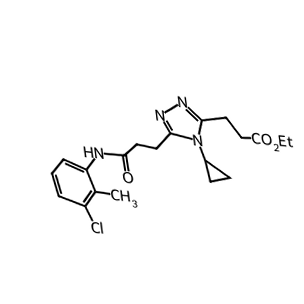 CCOC(=O)CCc1nnc(CCC(=O)Nc2cccc(Cl)c2C)n1C1CC1